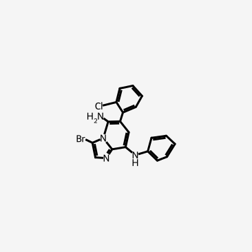 Nc1c(-c2ccccc2Cl)cc(Nc2ccccc2)c2ncc(Br)n12